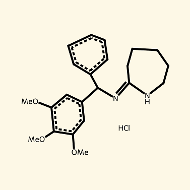 COc1cc(C(N=C2CCCCCN2)c2ccccc2)cc(OC)c1OC.Cl